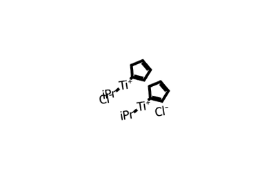 C[CH](C)[Ti+][C]1=CC=CC1.C[CH](C)[Ti+][C]1=CC=CC1.[Cl-].[Cl-]